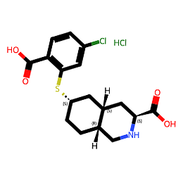 Cl.O=C(O)c1ccc(Cl)cc1S[C@H]1CC[C@H]2CN[C@H](C(=O)O)C[C@H]2C1